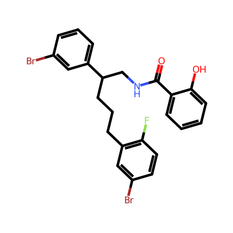 O=C(NCC(CCCc1cc(Br)ccc1F)c1cccc(Br)c1)c1ccccc1O